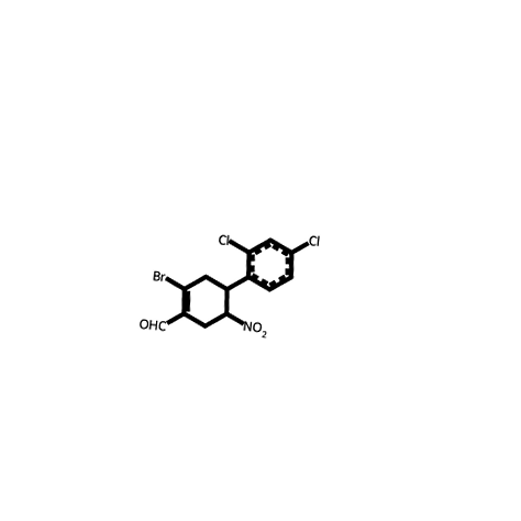 O=CC1=C(Br)CC(c2ccc(Cl)cc2Cl)C([N+](=O)[O-])C1